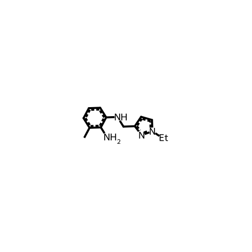 CCn1ccc(CNc2cccc(C)c2N)n1